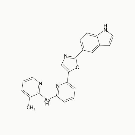 Cc1cccnc1[AsH]c1cccc(-c2cnc(-c3ccc4[nH]ccc4c3)o2)n1